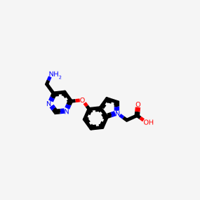 NCc1cc(Oc2cccc3c2ccn3CC(=O)O)ncn1